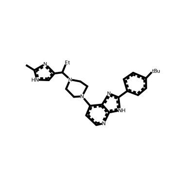 CCC(c1c[nH]c(C)n1)N1CCN(c2ccnc3[nH]c(-c4ccc(C(C)(C)C)cc4)nc23)CC1